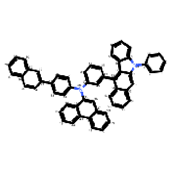 c1ccc(-n2c3ccccc3c3c(-c4cccc(N(c5ccc(-c6ccc7ccccc7c6)cc5)c5cc6ccccc6c6ccccc56)c4)c4ccccc4cc32)cc1